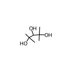 CC(C)(O)C(O)C(C)(C)O